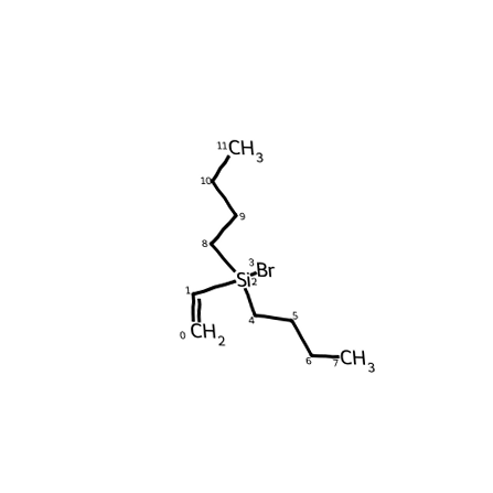 C=C[Si](Br)(CCCC)CCCC